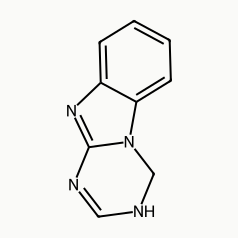 C1=Nc2nc3ccccc3n2CN1